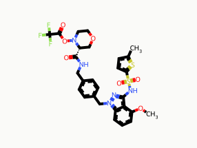 COc1cccc2c1c(NS(=O)(=O)c1ccc(C)s1)nn2Cc1ccc(CNC(=O)[C@H]2COCCN2OC(=O)C(F)(F)F)cc1